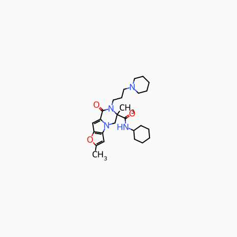 Cc1cc2c(cc3n2CC(C)(C(=O)NC2CCCCC2)N(CCCN2CCCCC2)C3=O)o1